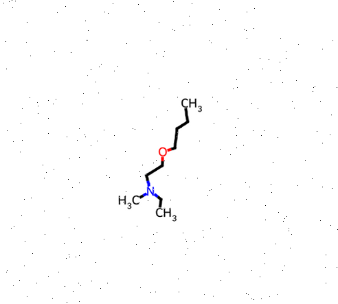 CCCCOCCN(C)CC